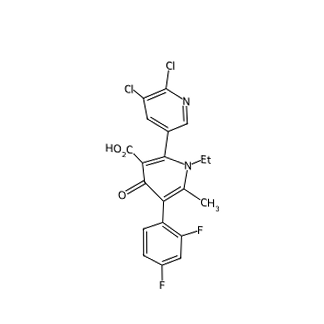 CCn1c(C)c(-c2ccc(F)cc2F)c(=O)c(C(=O)O)c1-c1cnc(Cl)c(Cl)c1